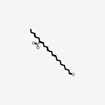 CC/C=C/C/C(=C/C/C=C/C/C=C/CCCCCC[C]=O)[N+](=O)[O-]